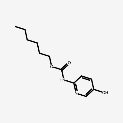 CCCCCCOC(=O)Nc1ccc(O)cn1